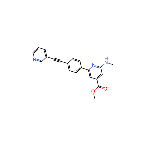 CNc1cc(C(=O)OC)cc(-c2ccc(C#Cc3cccnc3)cc2)n1